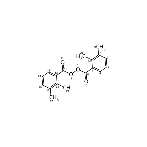 Cc1cccc(C(=O)OOC(=O)c2cccc(C)c2C)c1C